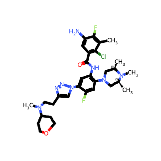 Cc1c(F)c(N)cc(C(=O)Nc2cc(-n3cc(CCN(C)C4CCOCC4)nn3)c(F)cc2N2C[C@@H](C)N(C)[C@@H](C)C2)c1Cl